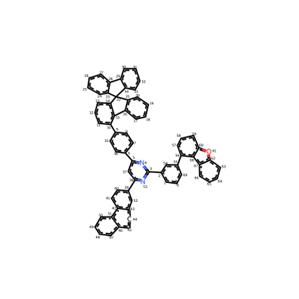 c1cc(-c2nc(-c3ccc(-c4cccc5c4-c4ccccc4C54c5ccccc5-c5ccccc54)cc3)cc(-c3ccc4c(ccc5ccccc54)c3)n2)cc(-c2cccc3oc4ccccc4c23)c1